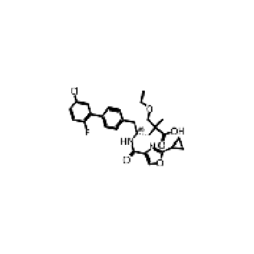 CCOCC(C)(C[C@@H](Cc1ccc(-c2cc(Cl)ccc2F)cc1)NC(=O)c1coc(C2CC2)n1)C(=O)O